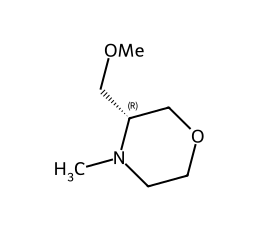 COC[C@@H]1COCCN1C